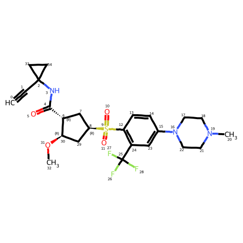 C#CC1(NC(=O)[C@@H]2C[C@@H](S(=O)(=O)c3ccc(N4CCN(C)CC4)cc3C(F)(F)F)C[C@H]2OC)CC1